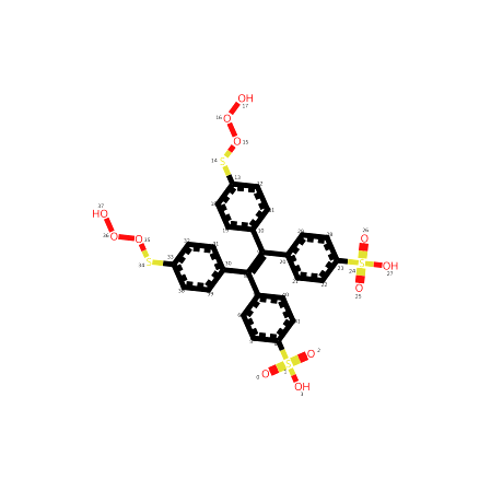 O=S(=O)(O)c1ccc(/C(=C(/c2ccc(SOOO)cc2)c2ccc(S(=O)(=O)O)cc2)c2ccc(SOOO)cc2)cc1